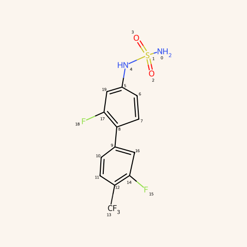 NS(=O)(=O)Nc1ccc(-c2ccc(C(F)(F)F)c(F)c2)c(F)c1